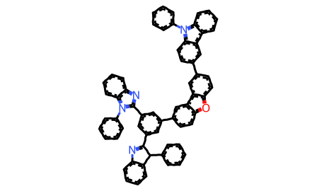 c1ccc(C2C(c3cc(-c4ccc5oc6ccc(-c7ccc8c(c7)c7ccccc7n8-c7ccccc7)cc6c5c4)cc(-c4nc5ccccc5n4-c4ccccc4)c3)=Nc3ccccc32)cc1